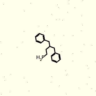 PCCC(Cc1ccccc1)Cc1ccccc1